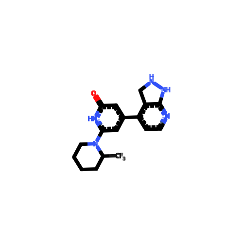 O=c1cc(-c2ccnc3c2CNN3)cc(N2CCCCC2C(F)(F)F)[nH]1